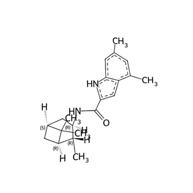 Cc1cc(C)c2cc(C(=O)N[C@@H]3C[C@@H]4C[C@H]([C@H]3C)C4(C)C)[nH]c2c1